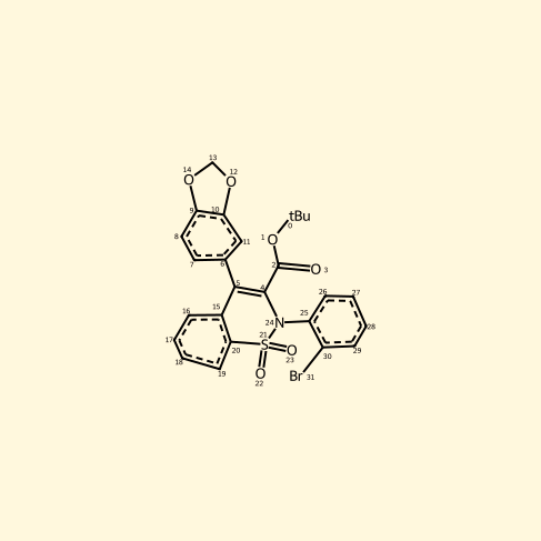 CC(C)(C)OC(=O)C1=C(c2ccc3c(c2)OCO3)c2ccccc2S(=O)(=O)N1c1ccccc1Br